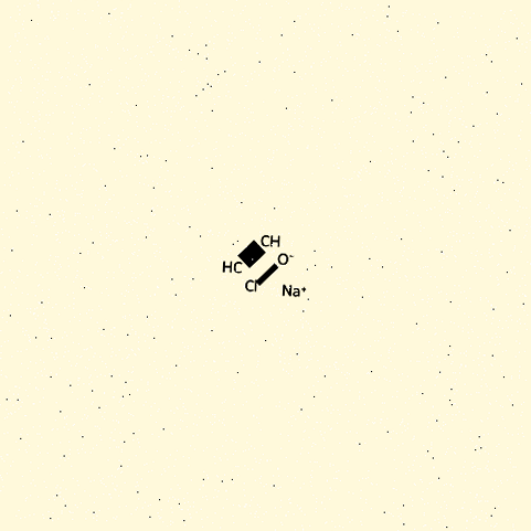 C#C.[Na+].[O-]Cl